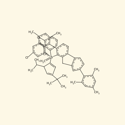 [CH2]=[Zr]([C]1=CC(C(C)(C)C)=CC1C(C)C)([c]1cccc(Cl)c1)([c]1cccc(Cl)c1)[c]1c(-c2c(C)cc(C)cc2C)ccc2c1Cc1cc(-c3c(C)cc(C)cc3C)ccc1-2